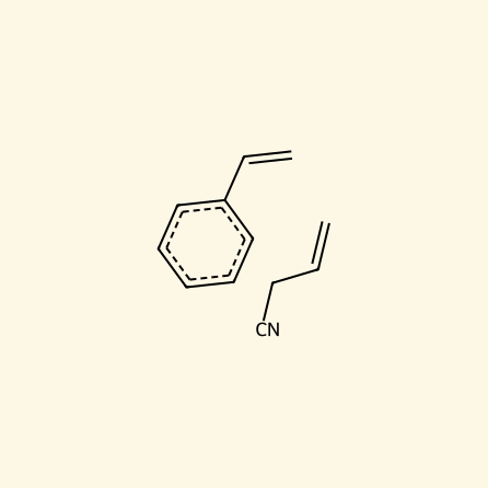 C=CCC#N.C=Cc1ccccc1